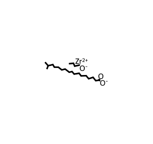 CC(C)CCCCCCCCCCCCCCC(=O)[O-].CCCC[O-].[Zr+2]